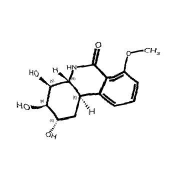 COc1cccc2c1C(=O)N[C@H]1[C@H](O)[C@H](O)[C@@H](O)C[C@H]21